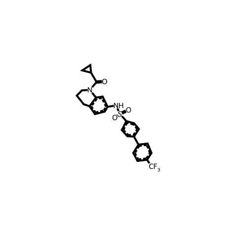 O=C(C1CC1)N1CCCc2ccc(NS(=O)(=O)c3ccc(-c4ccc(C(F)(F)F)cc4)cc3)cc21